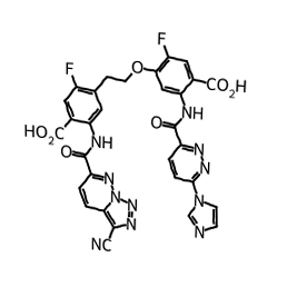 N#Cc1nnn2nc(C(=O)Nc3cc(CCOc4cc(NC(=O)c5ccc(-n6ccnc6)nn5)c(C(=O)O)cc4F)c(F)cc3C(=O)O)ccc12